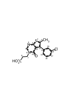 Cc1sc2ncn(CCC(=O)O)c(=O)c2c1-c1cccc(Cl)c1